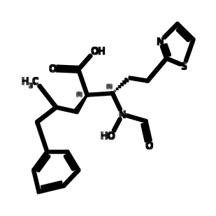 CC(Cc1ccccc1)C[C@@H](C(=O)O)[C@H](CCc1nccs1)N(O)C=O